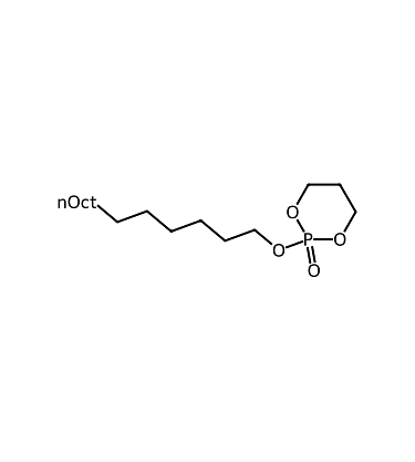 CCCCCCCCCCCCCCOP1(=O)OCCCO1